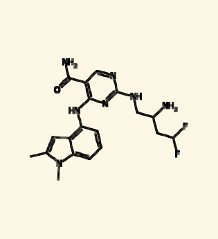 Cc1cc2c(Nc3nc(NCC(N)CC(F)F)ncc3C(N)=O)cccc2n1C